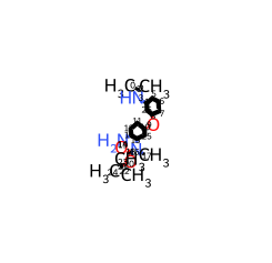 CC(C)Nc1cccc(Oc2ccc(N)c(N(C)C(=O)OC(C)(C)C)c2)c1